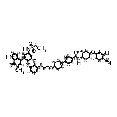 CCS(=O)(=O)Nc1ccc(Oc2cccc(CCCOC3CCN(c4ccc(C(=O)NC5CCC(Oc6ccc(C#N)c(Cl)c6)CC5)nn4)CC3)c2F)c(-c2cn(C)c(=O)c3[nH]ccc23)c1